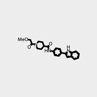 COCC(=O)N1CCC(C(=O)Nc2ccc(-c3cc4ccccc4[nH]3)cc2)CC1